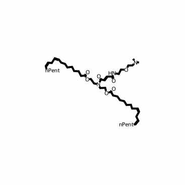 CCCCC/C=C\C/C=C\CCCCCCCC(=O)OCCN(CCOC(=O)CCCCCCC/C=C\C/C=C\CCCCC)C(=O)C=CC(=O)NCCOCCN(C)C